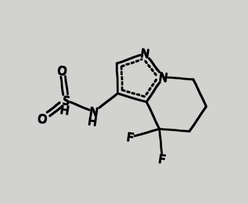 O=[SH](=O)Nc1cnn2c1C(F)(F)CCC2